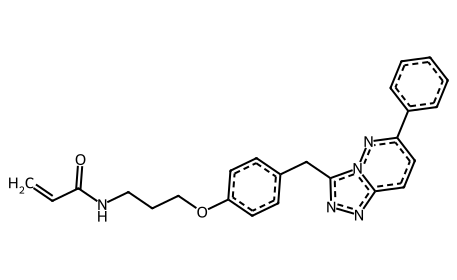 C=CC(=O)NCCCOc1ccc(Cc2nnc3ccc(-c4ccccc4)nn23)cc1